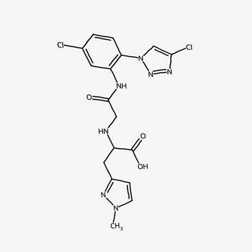 Cn1ccc(CC(NCC(=O)Nc2cc(Cl)ccc2-n2cc(Cl)nn2)C(=O)O)n1